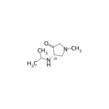 CC(C)N[C@H]1CN(C)CC1=O